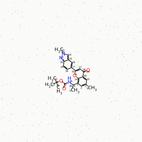 Cc1cc([C@@H](C)NC(=O)OC(C)(C)C)c2oc(-c3ccc4nn(C)cc4c3)cc(=O)c2c1